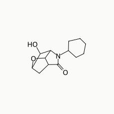 O=C1C2CC3OC2C(C3O)N1C1CCCCC1